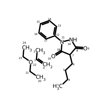 C=CC.CCCCC1C(=O)NN(c2ccccc2)C1=O.CCOCC